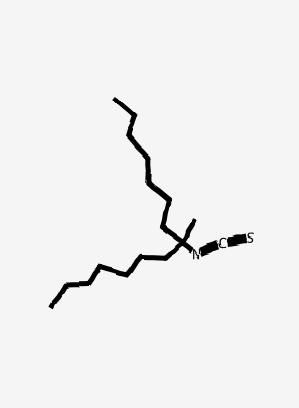 CCCCCCCC(C)(CCCCCCC)N=C=S